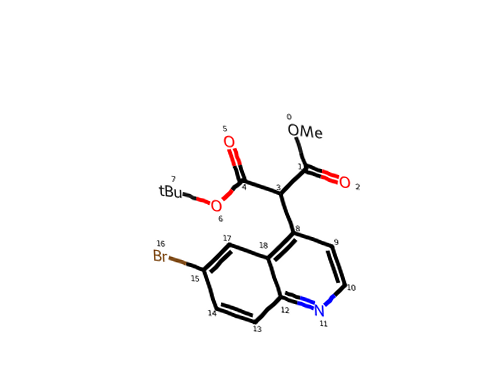 COC(=O)C(C(=O)OC(C)(C)C)c1ccnc2ccc(Br)cc12